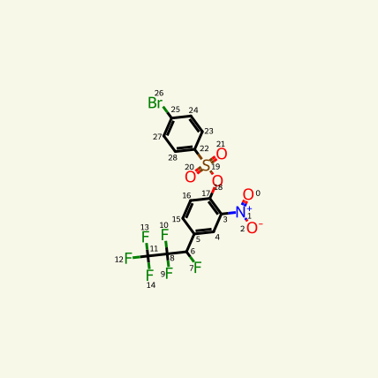 O=[N+]([O-])c1cc(C(F)C(F)(F)C(F)(F)F)ccc1OS(=O)(=O)c1ccc(Br)cc1